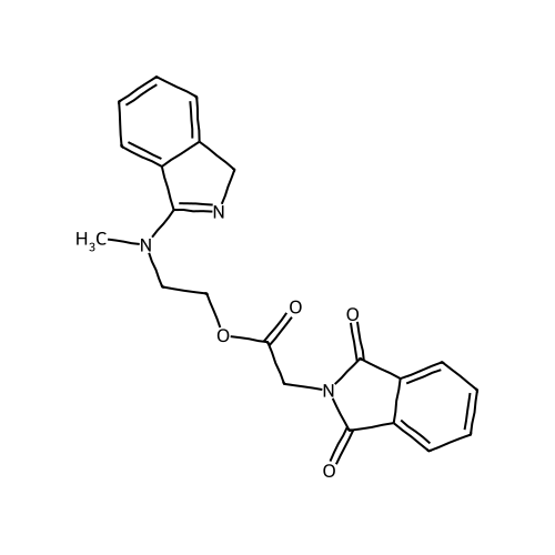 CN(CCOC(=O)CN1C(=O)c2ccccc2C1=O)C1=NCc2ccccc21